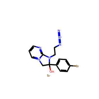 [Br-].[N-]=[N+]=NCCN1c2nccc[n+]2CC1(O)c1ccc(Br)cc1